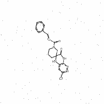 O=C(OCc1ccccc1)N1CCCC2(C1)Nc1cc(Cl)nnc1NC2=O